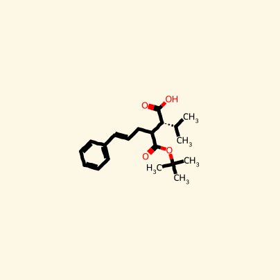 CC(C)[C@@H](C(=O)O)C(C/C=C/c1ccccc1)C(=O)OC(C)(C)C